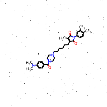 CC1=C(CCCCCCN2CCN(C(=O)c3ccc(N(C)C)cc3)CC2)C(=O)N(c2ccc(C(F)(F)F)c(C(F)(F)F)c2)C1=O